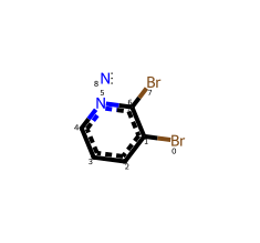 Brc1cccnc1Br.[N]